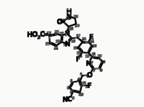 N#Cc1ccc(COc2cccc(-c3cc(F)c(Cc4nc5ccc(C(=O)O)cc5n4[C@@H]4CCNC4=O)cc3F)n2)c(F)c1